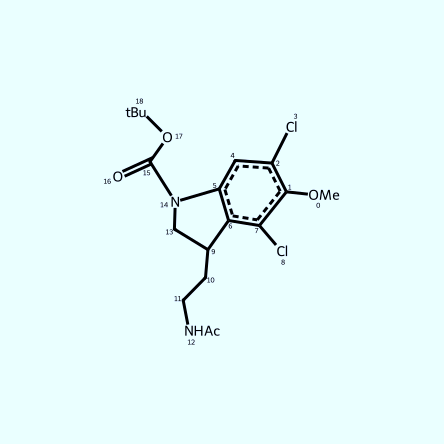 COc1c(Cl)cc2c(c1Cl)C(CCNC(C)=O)CN2C(=O)OC(C)(C)C